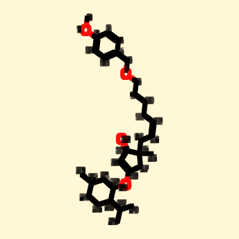 COc1ccc(COCCCC/C=C\CC2(C)CC(O[C@@H]3C[C@H](C)CCC3C(C)C)=CC2=O)cc1